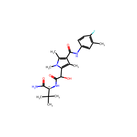 Cc1cc(NC(=O)c2c(C)c(C(O)C(=O)N[C@H](C(N)=O)C(C)(C)C)n(C)c2C)ccc1F